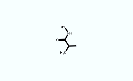 CC(C)NC(=O)C(C)I